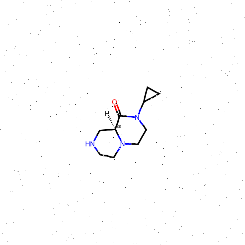 O=C1[C@@H]2CNCCN2CCN1C1CC1